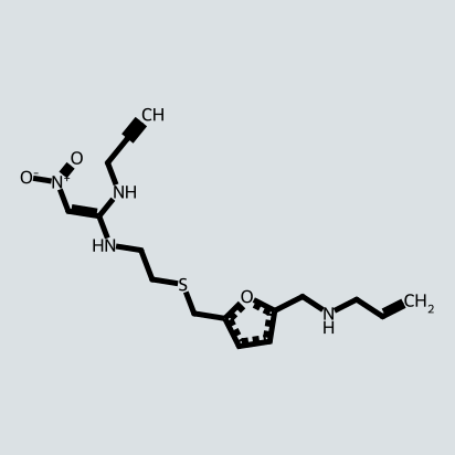 C#CCNC(=C[N+](=O)[O-])NCCSCc1ccc(CNCC=C)o1